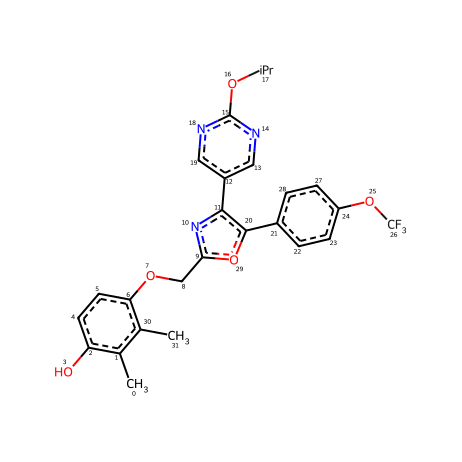 Cc1c(O)ccc(OCc2nc(-c3cnc(OC(C)C)nc3)c(-c3ccc(OC(F)(F)F)cc3)o2)c1C